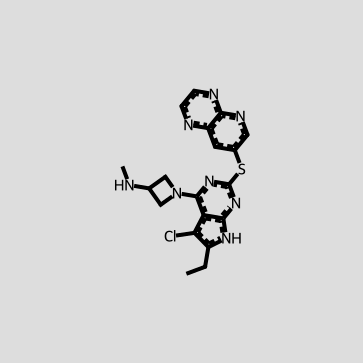 CCc1[nH]c2nc(Sc3cnc4nccnc4c3)nc(N3CC(NC)C3)c2c1Cl